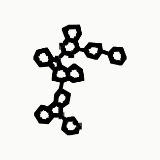 c1ccc(-c2ccc(-c3nc(-n4c5ccccc5c5cc(-c6ccc7c(c6)c6ccccc6n7-c6cccnc6)c6ccccc6c54)nc4ccccc34)cc2)cc1